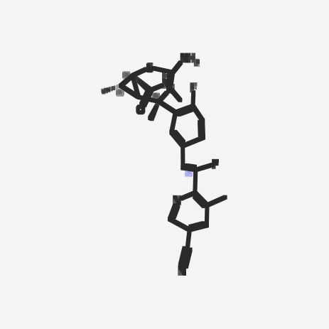 CNC(=O)[C@@]12SC(N)=N[C@](C)(c3cc(/C=C(\F)c4ncc(C#N)cc4C)ccc3F)C1[C@@H]2C